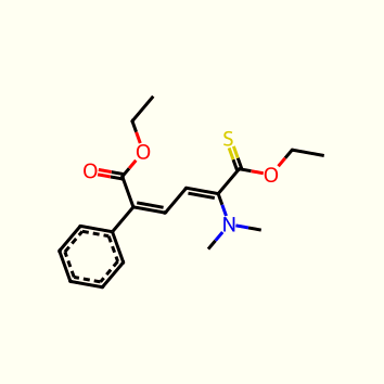 CCOC(=O)C(=CC=C(C(=S)OCC)N(C)C)c1ccccc1